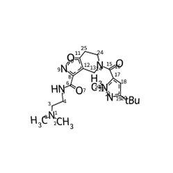 CN(C)CCNC(=O)c1noc2c1CN(C(=O)c1cc(C(C)(C)C)nn1C)CC2